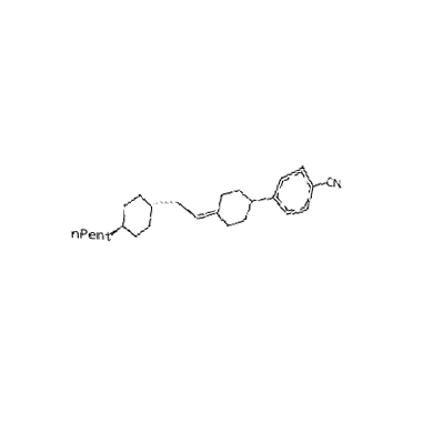 CCCCC[C@H]1CC[C@H](CC=C2CCC(c3ccc(C#N)cc3)CC2)CC1